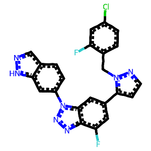 Fc1cc(Cl)ccc1Cn1nccc1-c1cc(F)c2nnn(-c3ccc4cn[nH]c4c3)c2c1